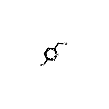 CC(C)c1ccc(CO)nn1